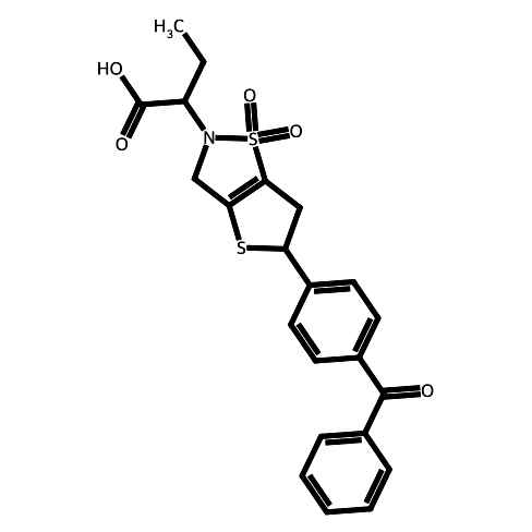 CCC(C(=O)O)N1CC2=C(CC(c3ccc(C(=O)c4ccccc4)cc3)S2)S1(=O)=O